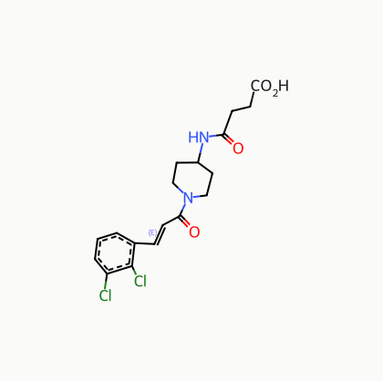 O=C(O)CCC(=O)NC1CCN(C(=O)/C=C/c2cccc(Cl)c2Cl)CC1